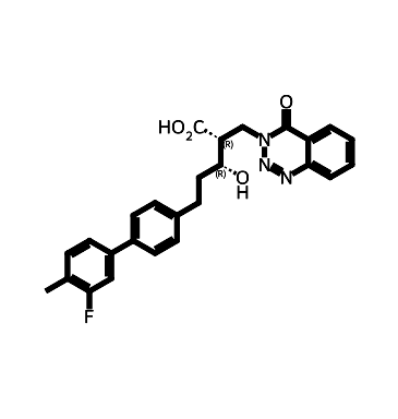 Cc1ccc(-c2ccc(CC[C@@H](O)[C@@H](Cn3nnc4ccccc4c3=O)C(=O)O)cc2)cc1F